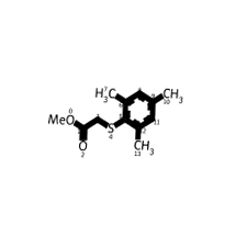 COC(=O)CSc1c(C)cc(C)cc1C